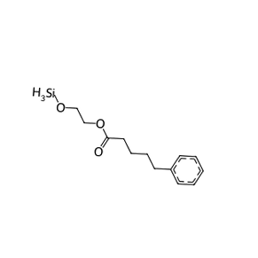 O=C(CCCCc1ccccc1)OCCO[SiH3]